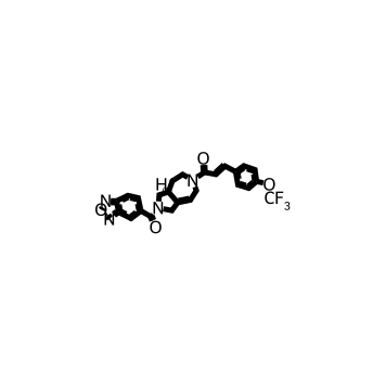 O=C(C=Cc1ccc(OC(F)(F)F)cc1)N1CC=C2CN(C(=O)c3ccc4nonc4c3)C[C@H]2CC1